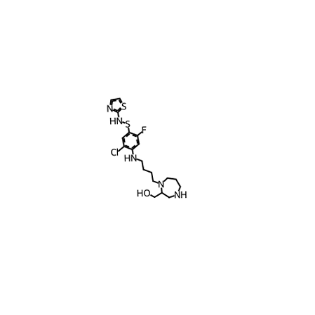 OCC1CNCCCN1CCCCNc1cc(F)c(SNc2nccs2)cc1Cl